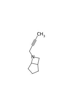 CC#CCN1CC2CCCC21